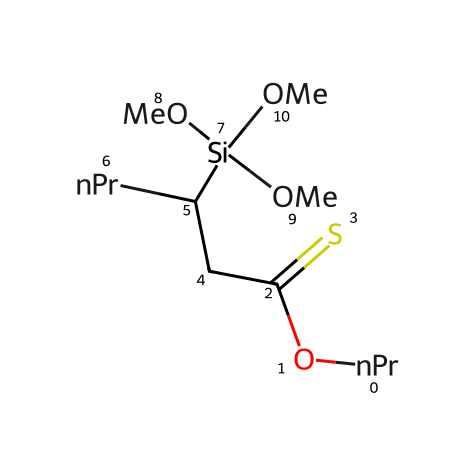 CCCOC(=S)CC(CCC)[Si](OC)(OC)OC